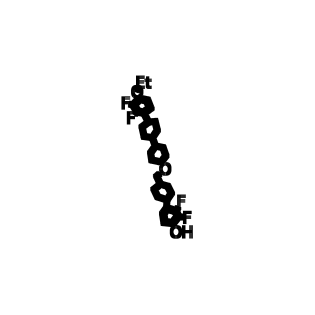 CCOc1ccc(C2CCC(C3CCC(OCC4CCC(c5ccc(O)c(F)c5F)CC4)CC3)CC2)c(F)c1F